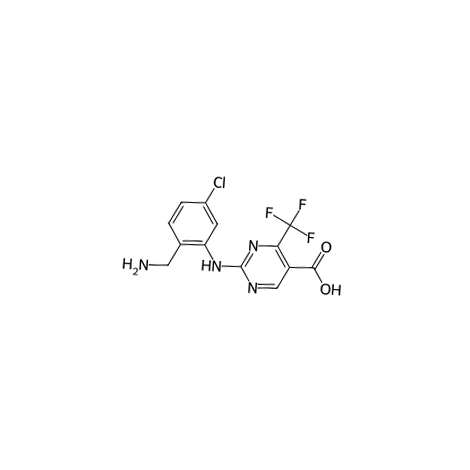 NCc1ccc(Cl)cc1Nc1ncc(C(=O)O)c(C(F)(F)F)n1